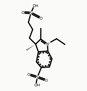 CC[N+]1=C(C)[C@](C)(CCCS(=O)(=O)O)c2cc(S(=O)(=O)O)ccc21